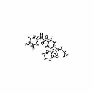 O=C1N(CC2CC2)c2ccc(S(=O)(=O)Nc3ccc(F)c(F)c3)cc2C12OCCCO2